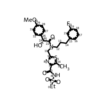 CCS(=O)(=O)NC(=O)c1nc(CN(CCCc2cccc(F)c2)C(=O)[C@H](O)c2ccc(OC)cc2)sc1C